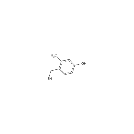 Cc1cc(O)ccc1CS